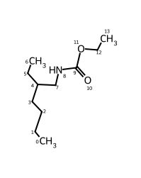 CCCCC(CC)CNC(=O)OCC